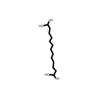 CCCC(O)CCCCCCCCCCCC(O)CCC